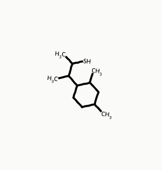 CC1CCC(C(C)C(C)S)C(C)C1